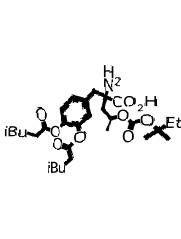 CCC(C)CC(=O)Oc1ccc(CC(N)(C[C@H](C)OC(=O)OC(C)(C)CC)C(=O)O)cc1OC(=O)CC(C)CC